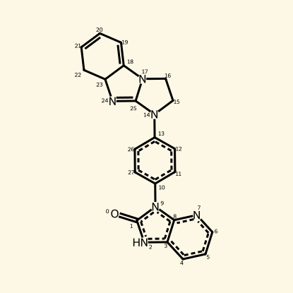 O=c1[nH]c2cccnc2n1-c1ccc(N2CCN3C4=CC=CCC4N=C32)cc1